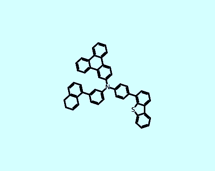 C1=Cc2c(cccc2-c2cccc(N(c3ccc(-c4cccc5c4sc4ccccc45)cc3)c3ccc4c5ccccc5c5ccccc5c4c3)c2)CC1